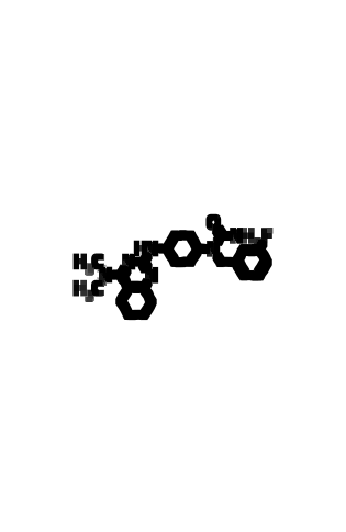 CN(C)c1nc(NC2CCC(N(Cc3cccc(F)c3)C(N)=O)CC2)nc2c1CCCC2